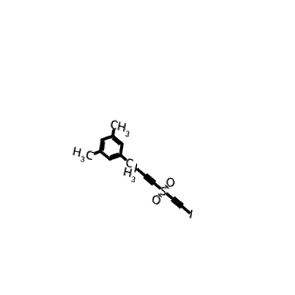 Cc1cc(C)cc(C)c1.O=S(=O)(C#CI)C#CI